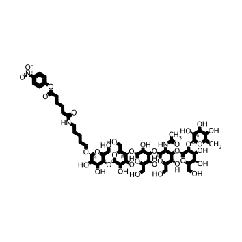 CC(=O)NC1C(O[C@@H]2OC(CO)[C@H](O)C(O)C2O[C@@H]2OC(C)C(O)C(O)[C@@H]2O)[C@@H](O)C(CO)O[C@H]1OC1C(O)[C@@H](O[C@H]2C(CO)O[C@@H](O[C@@H]3C(CO)O[C@@H](OCCCCCNC(=O)CCCCC(=O)Oc4ccc([N+](=O)[O-])cc4)C(O)C3O)C(O)C2O)OC(CO)[C@@H]1O